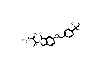 C[C@@H](C(N)=O)N1Cc2ccc(OCc3ccc(C(F)(F)F)cc3)cc2C1=O